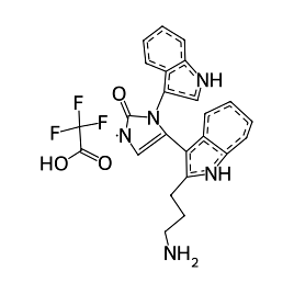 NCCCc1[nH]c2ccccc2c1C1=C[N]C(=O)N1c1c[nH]c2ccccc12.O=C(O)C(F)(F)F